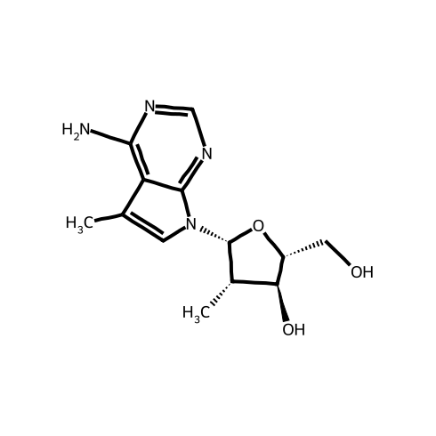 Cc1cn([C@@H]2O[C@H](CO)[C@@H](O)[C@@H]2C)c2ncnc(N)c12